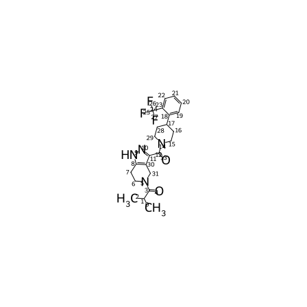 CC(C)C(=O)N1CCc2[nH]nc(C(=O)N3CCC(c4ccccc4C(F)(F)F)CC3)c2C1